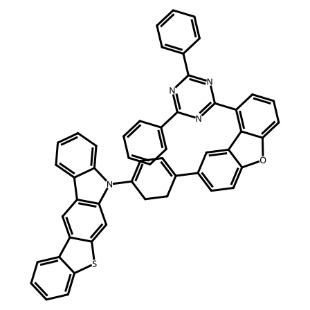 C1=C(c2ccc3oc4cccc(-c5nc(-c6ccccc6)nc(-c6ccccc6)n5)c4c3c2)CCC(n2c3ccccc3c3cc4c(cc32)sc2ccccc24)=C1